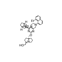 CCc1cccc2cccc(N3CCc4c(nc(OC[C@]56CCCN5[C@@H](CO)CC6)nc4N4C[C@H]5CC[C@@H](C4)N5C(=O)O)C3)c12